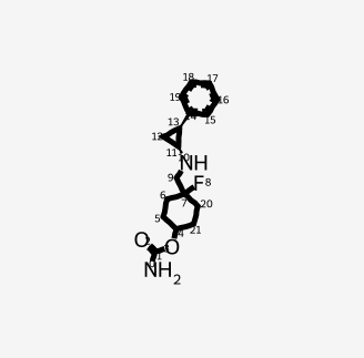 NC(=O)OC1CCC(F)(CN[C@@H]2C[C@H]2c2ccccc2)CC1